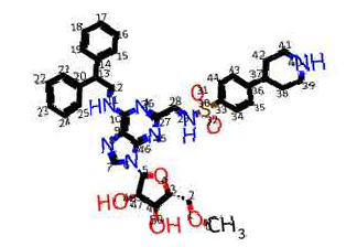 COC[C@H]1O[C@@H](n2cnc3c(NCC(c4ccccc4)c4ccccc4)nc(CNS(=O)(=O)c4ccc(C5CCNCC5)cc4)nc32)[C@H](O)[C@@H]1O